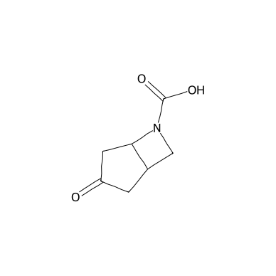 O=C1CC2CN(C(=O)O)C2C1